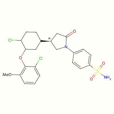 COc1cccc(Cl)c1OC1CC([C@H]2CC(=O)N(c3ccc(S(N)(=O)=O)cc3)C2)CCC1Cl